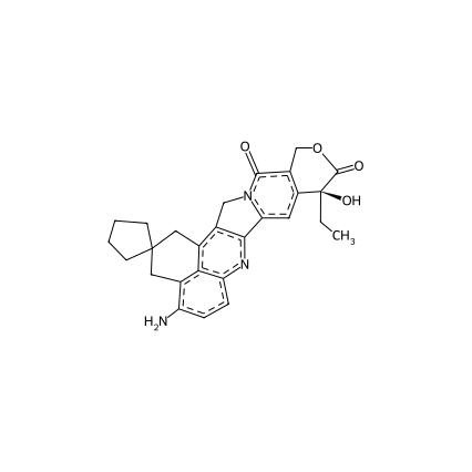 CC[C@@]1(O)C(=O)OCc2c1cc1n(c2=O)Cc2c-1nc1ccc(N)c3c1c2CC1(CCCC1)C3